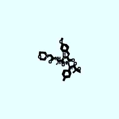 COc1ccc(C[C@H](NC(=O)[C@H](C)NC(=O)CN2CCOCC2)C(=O)N[C@@H](C(=O)[C@@]2(C)CO2)c2ccc(C)cc2)cc1